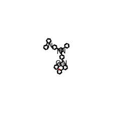 c1ccc(-c2cc(-c3ccc(-n4c5ccccc5c5ccccc54)cc3)nc(-c3ccc(-c4nc5cccc(-c6ccccc6)c5c5c4oc4ccccc45)cc3)n2)cc1